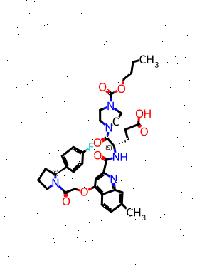 CCCCOC(=O)N1CCN(C(=O)[C@H](CCC(=O)O)NC(=O)c2cc(OCC(=O)N3CCC[C@H]3c3ccc(F)cc3)c3ccc(C)cc3n2)CC1